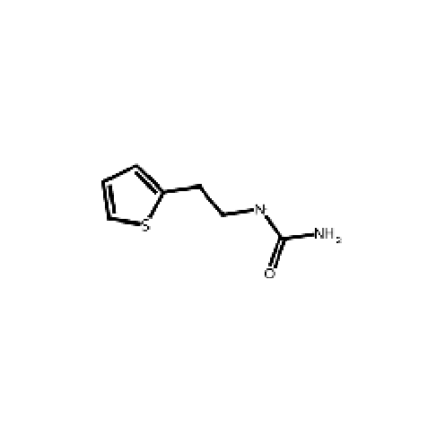 NC(=O)[N]CCc1cccs1